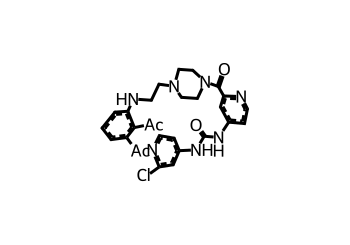 CC(=O)c1cccc(NCCN2CCN(C(=O)c3cc(NC(=O)Nc4ccnc(Cl)c4)ccn3)CC2)c1C(C)=O